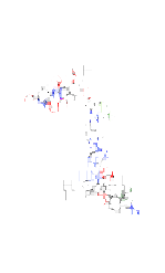 COc1cc(OC2CC(N(CC(F)F)CC3CCN(c4cnc(C(=O)NC5C(C)(C)C(Oc6ccc(C#N)c(Cl)c6)C5(C)C)cn4)CC3)C2)cc2c1C(=O)N([C@@H]1CCC(=O)NC1=O)C2=O